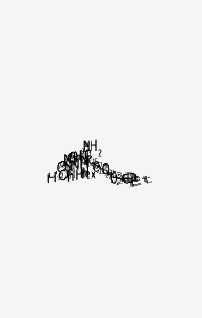 CCCCCC[C@@H](O)[C@H](NC(=O)[C@H](CCN)NC(=O)CCOCCOCCOCCOCC)C(N)=O